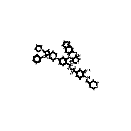 Cc1ccccc1[C@@H]1CCCN1C1CC2(CCN(c3ccc(C(=O)NS(=O)(=O)c4ccc(NCC5CCOCC5)c([N+](=O)[O-])c4)c(N4c5cc6cc[nH]c6nc5O[C@@H]5COC[C@H]54)c3)CC2)C1